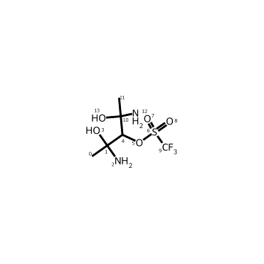 CC(N)(O)C(OS(=O)(=O)C(F)(F)F)C(C)(N)O